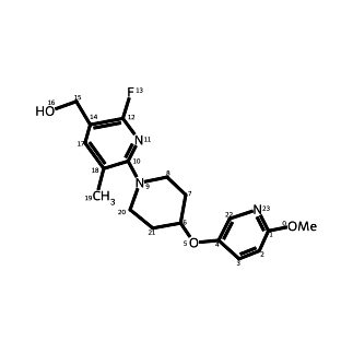 COc1ccc(OC2CCN(c3nc(F)c(CO)cc3C)CC2)cn1